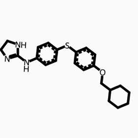 c1cc(Sc2ccc(OCC3CCCCC3)cc2)ccc1NC1=NCCN1